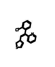 Clc1ccccc1C(=CC1C=CSC1)c1ccccn1